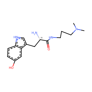 CN(C)CCCNC(=O)[C@@H](N)Cc1c[nH]c2ccc(O)cc12